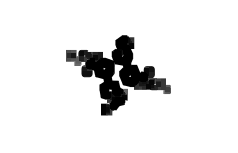 CNC(=O)c1cccc(-c2ccn3c(Br)cnc3c2)c1.CNC(=O)c1cccc(-c2ccn3ccnc3c2)c1